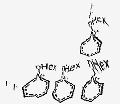 CCCCCC[n+]1ccccc1.CCCCCC[n+]1ccccc1.CCCCCC[n+]1ccccc1.CCCCCC[n+]1ccccc1.[I-].[I-].[I-].[I-]